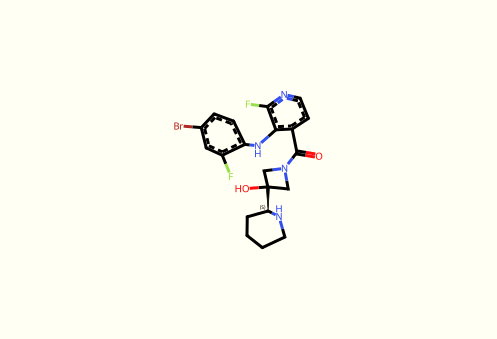 O=C(c1ccnc(F)c1Nc1ccc(Br)cc1F)N1CC(O)([C@@H]2CCCCN2)C1